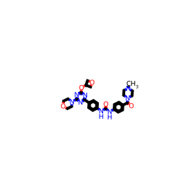 CN1CCN(C(=O)c2ccc(NC(=O)Nc3ccc(-c4nc(OC5COC5)nc(N5CCOCC5)n4)cc3)cc2)CC1